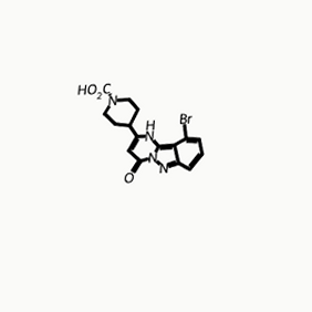 O=C(O)N1CCC(c2cc(=O)n3nc4cccc(Br)c4c3[nH]2)CC1